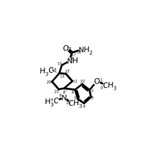 COc1cccc([C@]2(N(C)C)CC[C@](C)(CNC(N)=O)CC2)c1